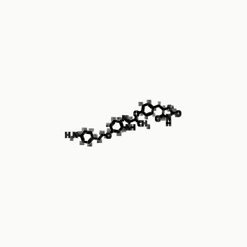 CC(Oc1ccc(CC2SC(=O)NC2=O)cc1)c1nc2ccc(OCCc3ccc(N)cc3)cc2[nH]1